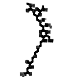 CNC(=O)OC[C@H](C[S+]([O-])C[C@H](N)C(=O)N[C@@H](CO)C(=O)NCCOCCOCCC(=O)NCC(N)=O)OC(=O)NC